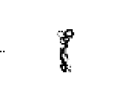 O=C1OC(CCN2CCN(c3cccnc3)CC2)CC12CCCCC2